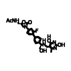 CC(=O)NC[C@H]1CN(c2ccc(-c3ccc([C@H](CO)NCc4c(C)nc(O)nc4O)cc3)c(F)c2)C(=O)O1